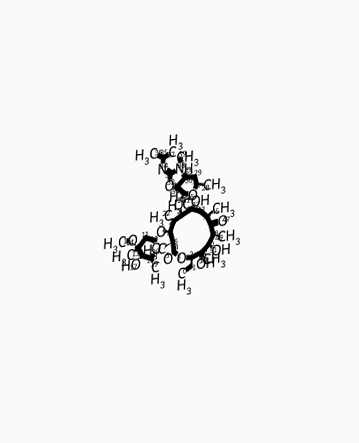 CC[C@H]1OC(=O)[C@H](C)[C@@H](O[C@H]2C[C@@](C)(OC)[C@@H](O)[C@H](C)O2)[C@H](C)[C@@H](O[C@@H]2O[C@H](C)C[C@H]3[C@H]2OC(=NC(C)C)N3C)[C@](C)(O)C[C@@H](C)C(=O)[C@H](C)[C@@H](O)[C@]1(C)O